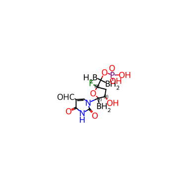 BC(B)(OP(=O)(O)O)[C@]1(F)C[C@@H](O)[C@](B)(n2cc(C=O)c(=O)[nH]c2=O)O1